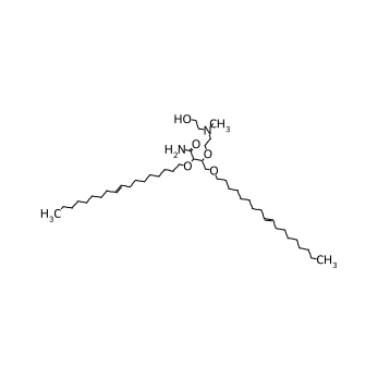 CCCCCCCCC=CCCCCCCCCOCC(OCCN(C)CCO)C(OCCCCCCCCC=CCCCCCCCC)C(N)=O